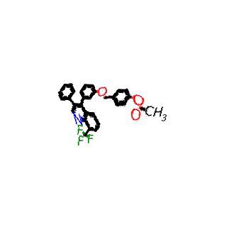 CC(=O)Oc1ccc(COc2cccc(-c3c(-c4ccccc4)cnc4c(C(F)(F)F)cccc34)c2)cc1